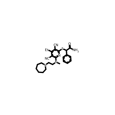 CCc1c(C#N)c(SC(C(N)=O)c2ccccc2)nc(N(C)CCN2CCCCCC2)c1C#N